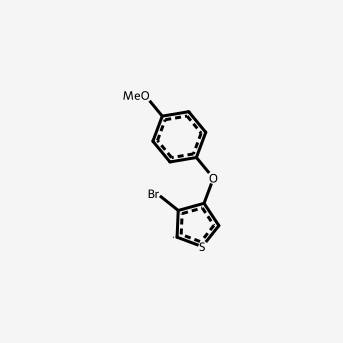 COc1ccc(Oc2cs[c]c2Br)cc1